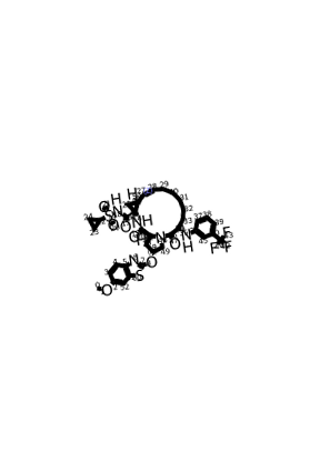 COc1ccc2nc(O[C@@H]3C[C@H]4C(=O)N[C@]5(C(=O)NS(=O)(=O)C6CC6)C[C@H]5/C=C\CCCCC[C@H](Nc5cccc(C(F)(F)F)c5)C(=O)N4C3)sc2c1